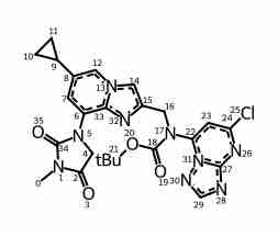 CN1C(=O)CN(c2cc(C3CC3)cn3cc(CN(C(=O)OC(C)(C)C)c4cc(Cl)nc5ncnn45)nc23)C1=O